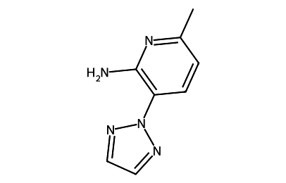 Cc1ccc(-n2nccn2)c(N)n1